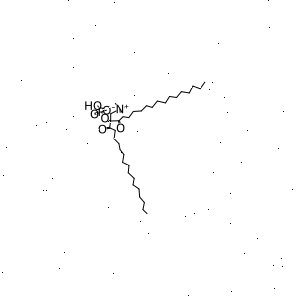 CCCCCCCCCCCCCCCC(=O)C(C[N+](C)(C)C)(OP(=O)([O-])O)C(=O)CCCCCCCCCCCCCCC